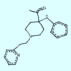 CC(=O)C1(Nc2ccccc2)CCN(CCc2ccccn2)CC1